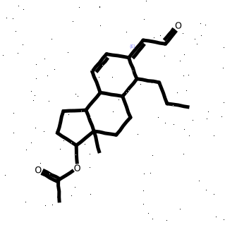 CCCC1/C(=C\C=O)C=CC2C1CCC1(C)C(OC(C)=O)CCC21